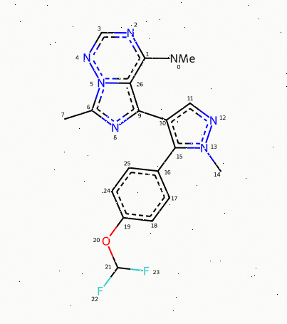 CNc1ncnn2c(C)nc(-c3cnn(C)c3-c3ccc(OC(F)F)cc3)c12